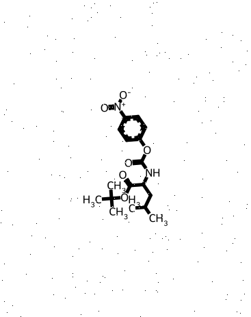 CC(C)CC(NC(=O)Oc1ccc([N+](=O)[O-])cc1)C(=O)OC(C)(C)C